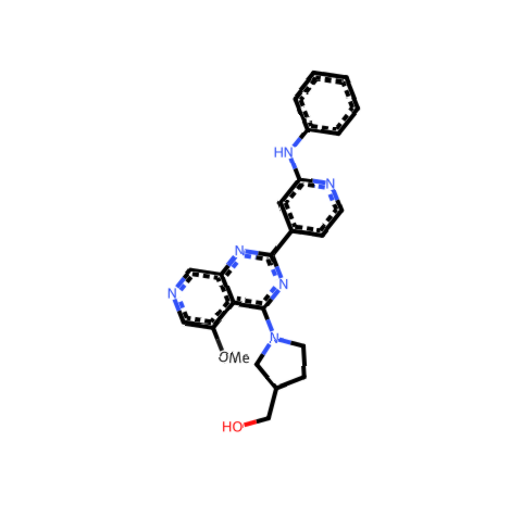 COc1cncc2nc(-c3ccnc(Nc4ccccc4)c3)nc(N3CCC(CO)C3)c12